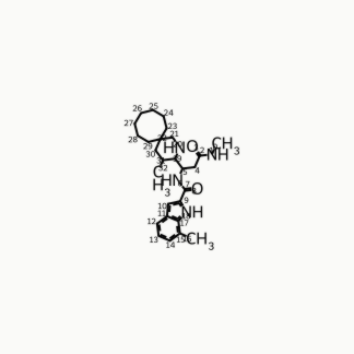 CNC(=O)CC(NC(=O)c1cc2cccc(C)c2[nH]1)C1NCC2(CCCCCCC2)CC1C